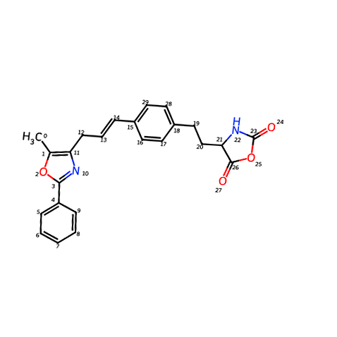 Cc1oc(-c2ccccc2)nc1CC=Cc1ccc(CCC2NC(=O)OC2=O)cc1